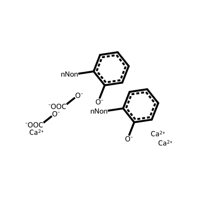 CCCCCCCCCc1ccccc1[O-].CCCCCCCCCc1ccccc1[O-].O=C([O-])[O-].O=C([O-])[O-].[Ca+2].[Ca+2].[Ca+2]